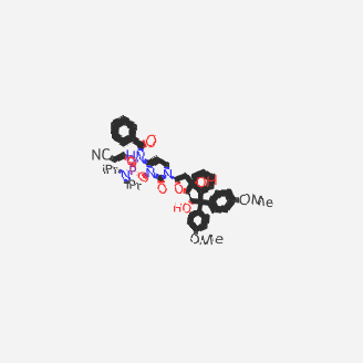 COc1ccc(C(c2ccccc2)(c2ccc(OC)cc2)C(O)[C@H]2O[C@@H](N3CC=C(NC(=O)c4ccccc4)N(OP(OCCC#N)N(C(C)C)C(C)C)C3=O)C[C@@H]2O)cc1